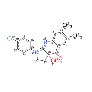 Cc1cc2c(cc1C)C(=O)C1(O)CCN(c3ccc(Cl)cc3)C1=N2